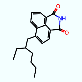 CCCCC(CC)Cc1ccc2c3c(cccc13)C(=O)NC2=O